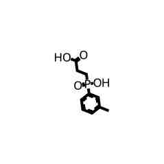 Cc1cccc(P(=O)(O)CCC(=O)O)c1